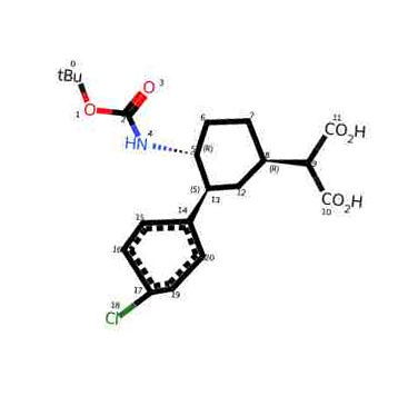 CC(C)(C)OC(=O)N[C@@H]1CC[C@@H](C(C(=O)O)C(=O)O)C[C@H]1c1ccc(Cl)cc1